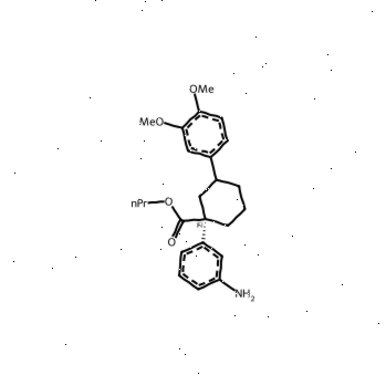 CCCOC(=O)[C@]1(c2cccc(N)c2)CCCC(c2ccc(OC)c(OC)c2)C1